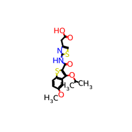 COc1ccc2sc(C(=O)Nc3nc(CC(=O)O)cs3)c(OC(C)C)c2c1